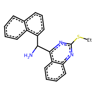 CCSc1nc(C(N)c2cccc3ccccc23)c2ccccc2n1